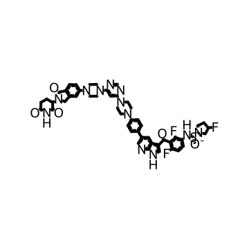 O=C1CCC(N2Cc3cc(N4CCN(c5cc(N6CCN(c7ccc(-c8cnc9[nH]cc(C(=O)c%10c(F)ccc(N[S+]([O-])N%11CCC(F)C%11)c%10F)c9c8)cc7)CC6)ncn5)CC4)ccc3C2=O)C(=O)N1